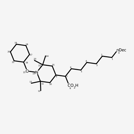 CCCCCCCCCCCCCCCCC(C(=O)O)C1CC(C)(C)N(OC2CCCCC2)C(C)(C)C1